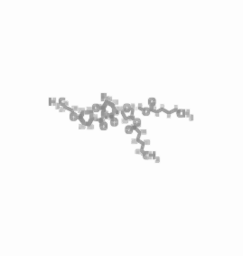 CCCCCC(=O)OC[C@H]1O[C@@H](n2cc(F)c(=O)n(C(=O)c3ccc(OCCC)cc3)c2=O)C[C@@H]1OC(=O)CCCCC